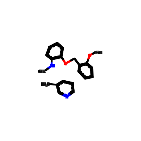 CCCCCCOc1ccccc1COc1ccccc1NC=O.O=C(O)c1cccnc1